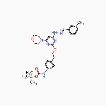 Cc1cccc(/C=N/Nc2cc(N3CCOCC3)nc(OCCc3ccc(NC(=O)OC(C)(C)C)cc3)n2)c1